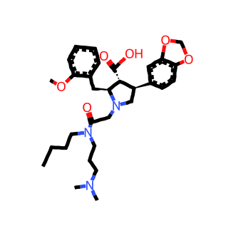 CCCCN(CCCN(C)C)C(=O)CN1C[C@H](c2ccc3c(c2)OCO3)[C@@H](C(=O)O)[C@@H]1Cc1ccccc1OC